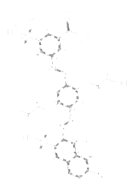 Nc1ccc2cc(S(=O)(=O)O)c(N=Nc3cc(OCCO)c(N=Nc4cc(C(=O)O)cc(S(=O)(=O)O)c4)cc3OCCO)c(O)c2c1